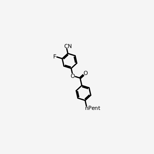 CCCCCc1ccc(C(=O)Oc2ccc(C#N)c(F)c2)cc1